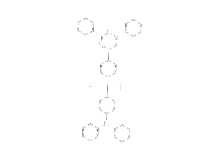 FC(F)(F)C(c1ccc(-c2cc(-c3ccccc3)nc(-c3ccccc3)n2)cc1)(c1ccc(N(c2ccccc2)c2ccccc2)cc1)C(F)(F)F